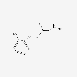 CC(C)(C)NCC(O)COc1ncccc1C#N